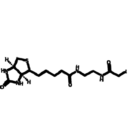 O=C(CI)NCCNC(=O)CCCCC1SC[C@@H]2NC(=O)N[C@H]12